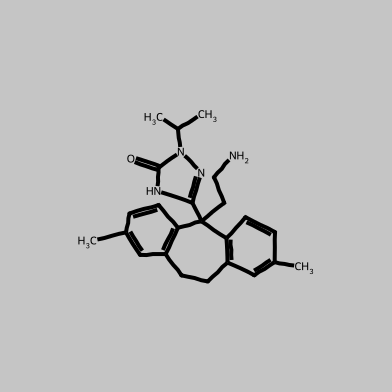 Cc1ccc2c(c1)CCc1cc(C)ccc1C2(CCN)c1nn(C(C)C)c(=O)[nH]1